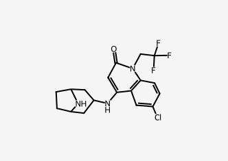 O=c1cc(NC2CC3CCC(C2)N3)c2cc(Cl)ccc2n1CC(F)(F)F